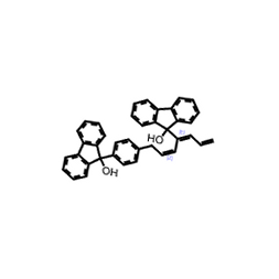 C=C/C=C(\C=C/Cc1ccc(C2(O)c3ccccc3-c3ccccc32)cc1)C1(O)c2ccccc2-c2ccccc21